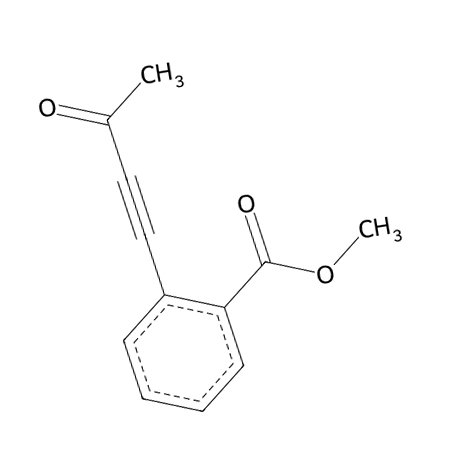 COC(=O)c1ccccc1C#CC(C)=O